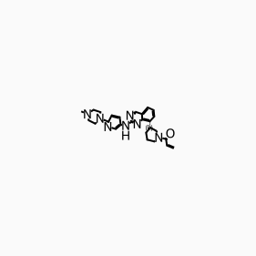 C=CC(=O)N1CCC[C@H](c2cccc3cnc(Nc4ccc(N5CCN(C)CC5)nc4)nc23)C1